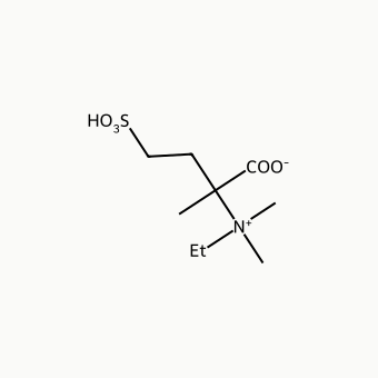 CC[N+](C)(C)C(C)(CCS(=O)(=O)O)C(=O)[O-]